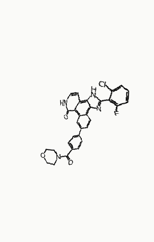 O=C(c1ccc(-c2ccc3c(c2)c2c(=O)[nH]ccc2c2[nH]c(-c4c(F)cccc4Cl)nc32)cc1)N1CCOCC1